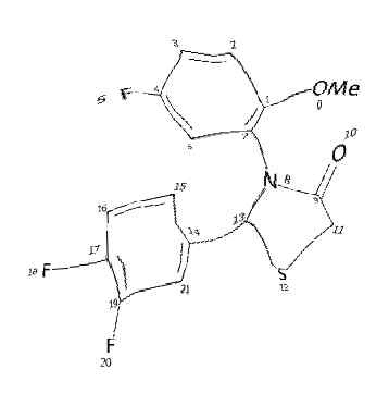 COc1ccc(F)cc1N1C(=O)CSC1c1ccc(F)c(F)c1